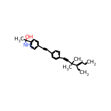 C=C/C=C(\C=C)C(C)(C)C#Cc1ccc(C#Cc2ccc(C(C)(N)O)cc2)cc1